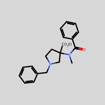 CCOC(=O)C1(N(C)C(=O)c2ccccc2)CCN(Cc2ccccc2)C1